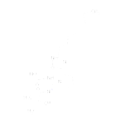 CCCCCCCCc1noc(C2CCCN2/C(=N/C(=O)C(C)(C)C)NC(=O)O)n1